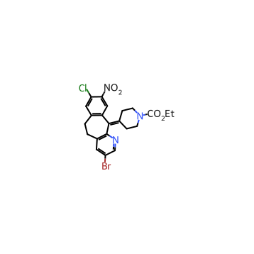 CCOC(=O)N1CCC(=C2c3cc([N+](=O)[O-])c(Cl)cc3CCc3cc(Br)cnc32)CC1